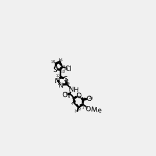 COc1c(C)cc(C(=O)Nc2nnc(-c3sccc3Cl)s2)oc1=O